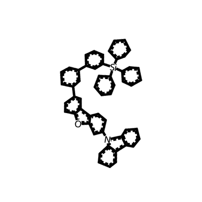 c1ccc([Si](c2ccccc2)(c2ccccc2)c2cccc(-c3cccc(-c4ccc5oc6cc(-n7c8ccccc8c8ccccc87)ccc6c5c4)c3)c2)cc1